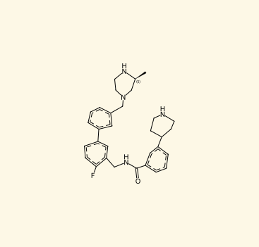 C[C@H]1CN(Cc2cccc(-c3ccc(F)c(CNC(=O)c4cccc(C5CCNCC5)c4)c3)c2)CCN1